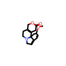 COC1C=CC2=CCN3CCC4=C(CC(=O)OC4)C23C1